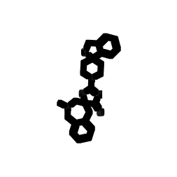 CN1Cc2ccccc2CC2(C1)OC(N1CCC3(CC1)OCc1ccccc13)=NC2=O